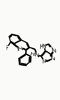 Fc1cccc2cc(CNc3ncnc4nc[nH]c34)c(-c3ccccc3)nc12